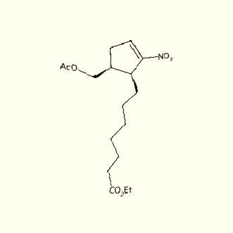 CCOC(=O)CCCCCC[C@@H]1C([N+](=O)[O-])=CC[C@@H]1COC(C)=O